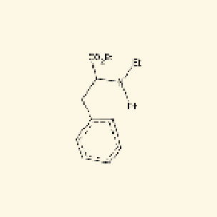 CCOC(=O)C(Cc1ccccc1)N(CC)CC